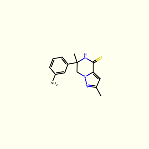 Cc1cc2n(n1)CC(C)(c1cccc([N+](=O)[O-])c1)NC2=S